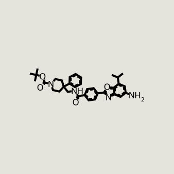 CC(C)c1cc(N)cc2nc(-c3ccc(C(=O)NCC4(c5ccccc5)CCN(C(=O)OC(C)(C)C)CC4)cc3)oc12